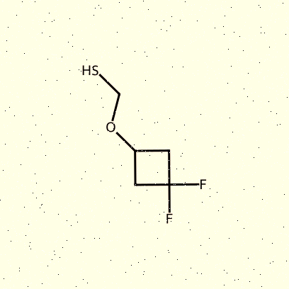 FC1(F)CC(OCS)C1